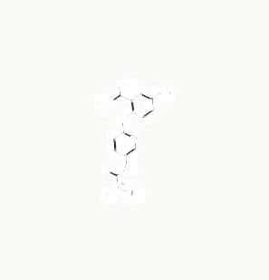 C=C(C)c1cc(C#N)ccc1Oc1ccc(NC(=O)[C@H](N)CC)cn1